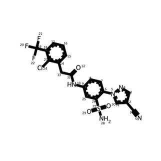 N#Cc1cnn(-c2ccc(NC(=O)Cc3cccc(C(F)(F)F)c3Cl)cc2S(N)(=O)=O)c1